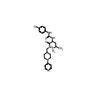 CC(C)CC(NC(=O)Nc1ccc(Cl)cc1)C(=O)NCC1CCN(c2ccncc2)CC1